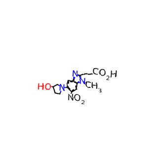 Cn1c(CCC(=O)O)nc2cc(N3CCC(O)C3)c([N+](=O)[O-])cc21